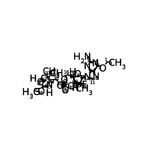 CCOc1nc(N)nc2c1ncn2[C@@H]1O[C@@H]2CO[P@@](=O)(OC[C@@H](NC(=O)OC)C(C)(C)C)O[C@H]2[C@@]1(C)F